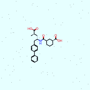 C[C@H](C[C@@H](Cc1ccc(-c2ccccc2)cc1)NC(=O)C1CCC[C@H](C(=O)O)C1)C(=O)O